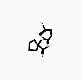 O=C1N=C2C=CC(Br)=CN2C12CCCC2